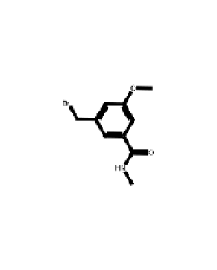 CNC(=O)c1cc(CBr)cc(OC)c1